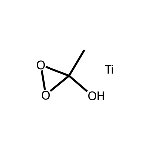 CC1(O)OO1.[Ti]